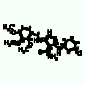 COc1ccc(CNc2[nH]nc(Nc3cccc(Cl)c3)c2C(N)=O)c(OC)c1OC